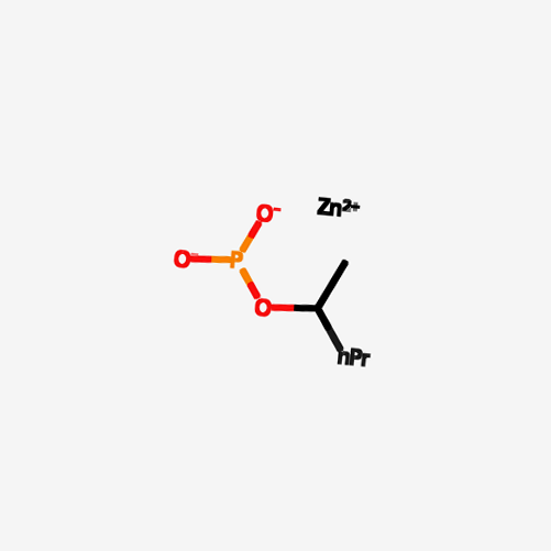 CCCC(C)OP([O-])[O-].[Zn+2]